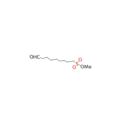 COS(=O)(=O)CCCCCCCCC=O